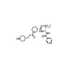 O=C(O)C[C@H](NC(=O)c1ccncc1)NC(=O)[C@@H]1CCCN(C(=O)CCC2CCNCC2)C1